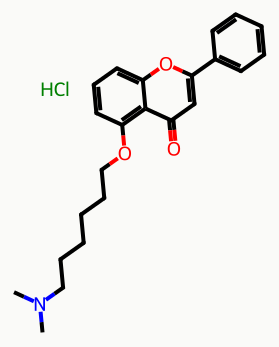 CN(C)CCCCCCOc1cccc2oc(-c3ccccc3)cc(=O)c12.Cl